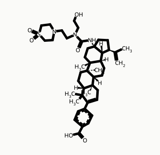 C=C(C)[C@@H]1CC[C@]2(NC(=O)N(CCO)CCN3CCS(=O)(=O)CC3)CC[C@]3(C)[C@H](CC[C@@H]4[C@@]5(C)CC=C(c6ccc(C(=O)O)cc6)C(C)(C)[C@@H]5CC[C@]43C)[C@@H]12